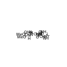 CCCN(CCC)c1ccc(C(=O)Nc2ccc(-c3cncc(Nc4cc(OC)c(OC)c(OC)c4)n3)cc2)c(NS(N)(=O)=O)c1